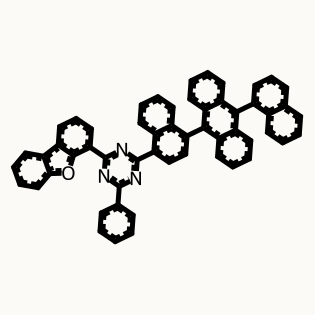 c1ccc(-c2nc(-c3ccc(-c4c5ccccc5c(-c5cccc6ccccc56)c5ccccc45)c4ccccc34)nc(-c3cccc4c3oc3ccccc34)n2)cc1